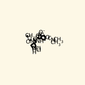 CCOC(=O)n1nc(NC(=O)c2ccc(OCCN(C)C)cc2[N+](=O)[O-])c2c1CCNC2.Cl.Cl